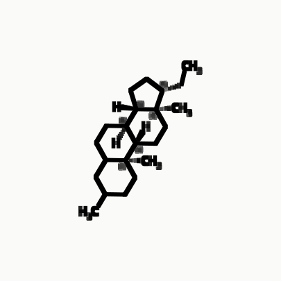 CC[C@H]1CC[C@H]2[C@@H]3CCC4CC(C)CC[C@]4(C)[C@H]3CC[C@]12C